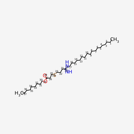 CCCCCCCCCCCCCCCCCCNC(=N)CCCSCCC(=O)OCCCCCCCCC